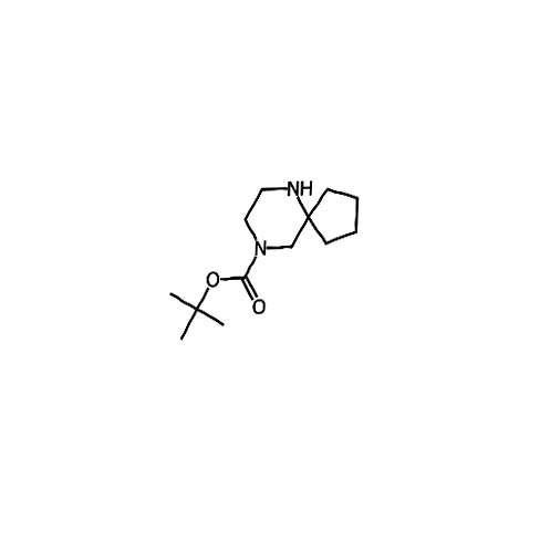 CC(C)(C)OC(=O)N1CCNC2(CCCC2)C1